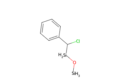 [SiH3]O[SiH2]C(Cl)c1ccccc1